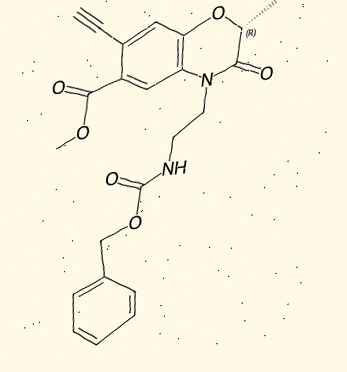 C#Cc1cc2c(cc1C(=O)OC)N(CCNC(=O)OCc1ccccc1)C(=O)[C@@H](C)O2